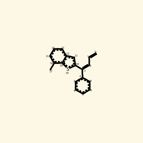 C=C/C=C(/c1ccccc1)c1cc2cccc(C)c2s1